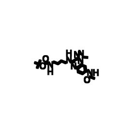 CC(=O)Nc1ccc2nc(NCCCCNC(=O)OC(C)(C)C)c3nnc(C)n3c2c1